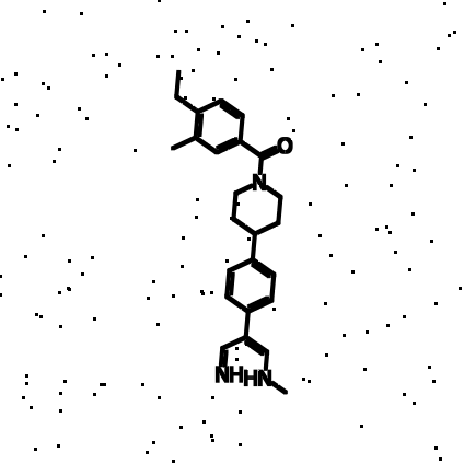 CCc1ccc(C(=O)N2CCC(c3ccc(/C(C=N)=C/NC)cc3)CC2)cc1C